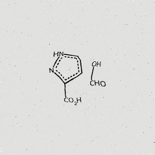 O=C(O)c1cc[nH]n1.O=CO